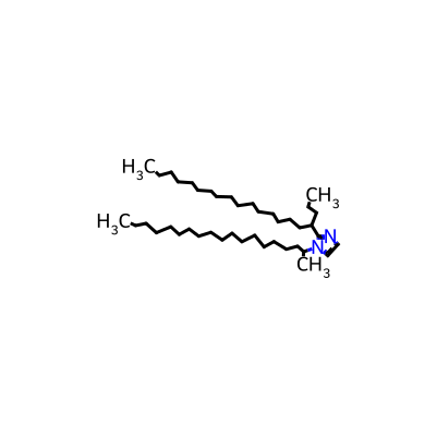 CCCCCCCCCCCCCCCCCC(C)n1ccnc1C(CCC)CCCCCCCCCCCCCCCC